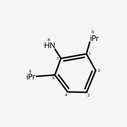 CC(C)c1cccc(C(C)C)c1[NH]